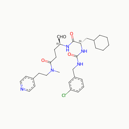 CN(CCc1ccncc1)C(=O)CC[C@@H](C=O)NC(=O)[C@H](CC1CCCCC1)NC(=O)NCc1cccc(Cl)c1